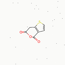 O=C1Cc2sccc2C(=O)O1